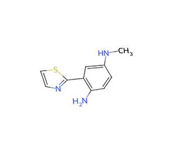 CNc1ccc(N)c(-c2nccs2)c1